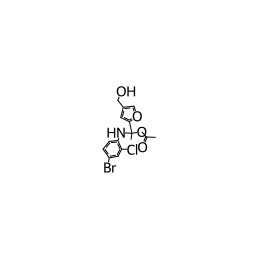 CC(=O)OC(C)(Nc1ccc(Br)cc1Cl)c1cc(CO)co1